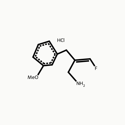 COc1cccc(CC(=CF)CN)c1.Cl